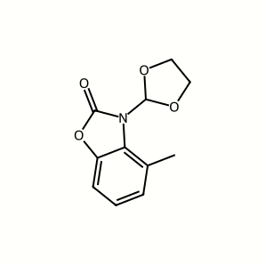 Cc1cccc2oc(=O)n(C3OCCO3)c12